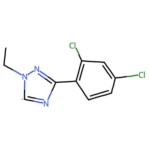 CCn1[c]nc(-c2ccc(Cl)cc2Cl)n1